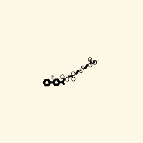 CC(C(=O)OCC(=O)OCCSSCCO[N+](=O)[O-])c1ccc(-c2ccccc2)c(F)c1